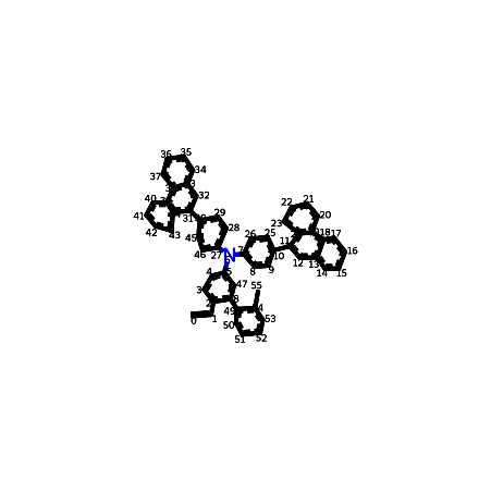 C=Cc1ccc(N(c2ccc(-c3cc4ccccc4c4ccccc34)cc2)c2ccc(-c3cc4ccccc4c4ccccc34)cc2)cc1-c1ccccc1C